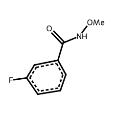 CONC(=O)c1cccc(F)c1